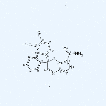 NC(=O)n1n[c]c2c1CC(c1ccccc1)(c1ccc(F)c(F)c1)C=C2